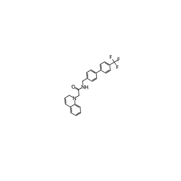 O=C(CN1CC=Cc2ccccc21)NCc1ccc(-c2ccc(C(F)(F)F)cc2)cc1